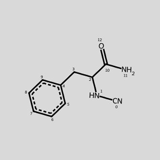 N#CNC(Cc1ccccc1)C(N)=O